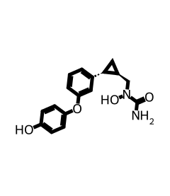 NC(=O)N(O)C[C@@H]1C[C@H]1c1cccc(Oc2ccc(O)cc2)c1